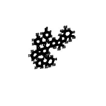 Cc1ccc(N2B3c4cc(C)ccc4-n4c5ccccc5c5c(N6c7ccccc7C7(C)CCCCC67C)cc(c3c54)-c3cc4c(cc32)-c2cc3c(cc2C4(C)C)C(C)(C)CCC3(C)C)cc1